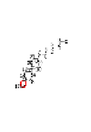 CCCCCCCCC1CCC([C@H]2CC[C@H](OC)CC2)CC1